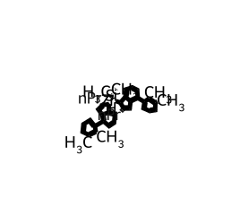 CCCC1=Cc2c(-c3cccc(C)c3C)cccc2[CH]1[Zr]([CH]1C(CCC)=Cc2c(-c3cccc(C)c3C)cccc21)[SiH](C)C